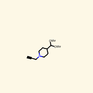 C#CCN1CCC(C(OC)OC)CC1